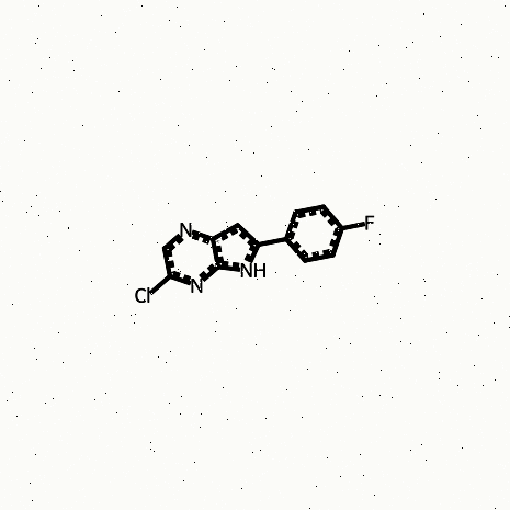 Fc1ccc(-c2cc3ncc(Cl)nc3[nH]2)cc1